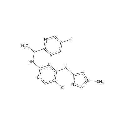 CC(Nc1ncc(Cl)c(Nc2cn(C)cn2)n1)c1ncc(F)cn1